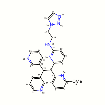 COc1cccc(C(c2cccc(NCCn3ccnn3)n2)C(c2cccnc2)c2cccnc2)n1